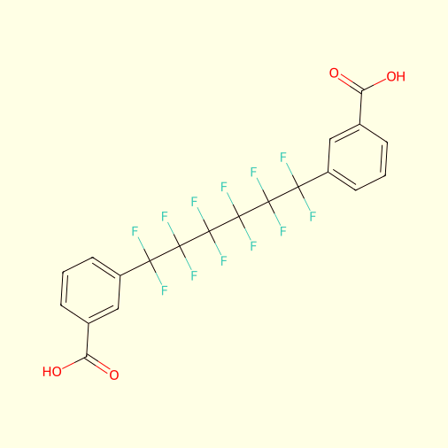 O=C(O)c1cccc(C(F)(F)C(F)(F)C(F)(F)C(F)(F)C(F)(F)C(F)(F)c2cccc(C(=O)O)c2)c1